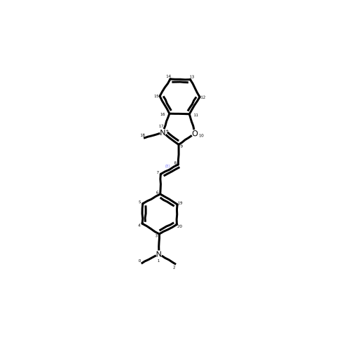 CN(C)c1ccc(/C=C/c2oc3ccccc3[n+]2C)cc1